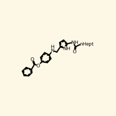 CCCCCCCC(=O)Nc1ccc(CNc2ccc(OC(=O)c3ccccc3)cc2)[nH]1